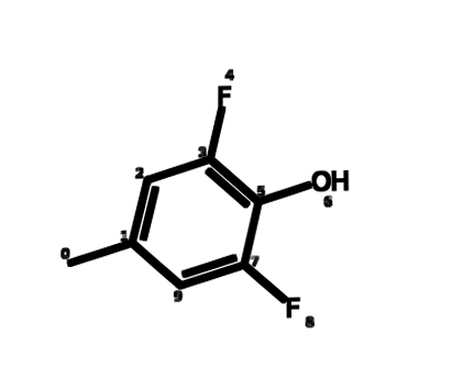 Cc1cc(F)c(O)c(F)c1